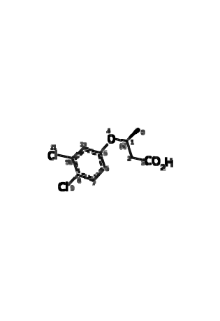 C[C@@H](CC(=O)O)Oc1ccc(Cl)c(Cl)c1